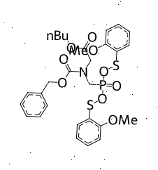 CCCCOC(=O)CN(CP(=O)(OSc1ccccc1OC)OSc1ccccc1OC)C(=O)OCc1ccccc1